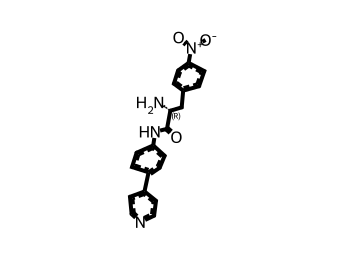 N[C@H](Cc1ccc([N+](=O)[O-])cc1)C(=O)Nc1ccc(-c2ccncc2)cc1